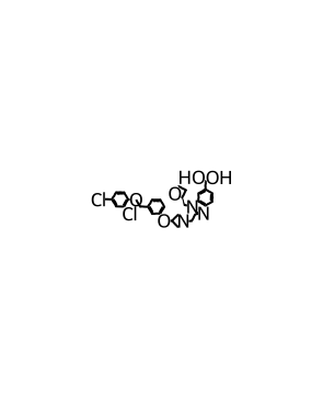 OC(O)c1ccc2nc(CN3CC(Oc4cccc(COc5ccc(Cl)cc5Cl)c4)C3)n(C[C@@H]3CCO3)c2c1